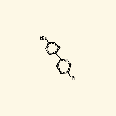 CC(C)c1ccc(-c2ccc(C(C)(C)C)nc2)nc1